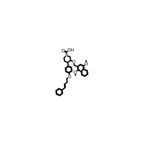 COc1cc(COC2CN(C(=O)O)CCC2c2ccc(OCCC=Cc3ccccc3)cc2)c(OC)c2ccccc12